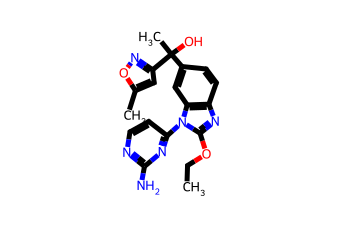 CCOc1nc2ccc(C(C)(O)c3cc(C)on3)cc2n1-c1ccnc(N)n1